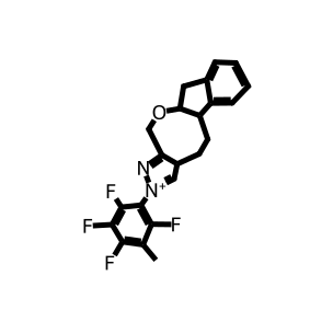 Cc1c(F)c(F)c(F)c([N+]2=CC3CCC4c5ccccc5CC4OCC3=N2)c1F